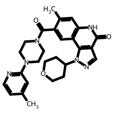 Cc1ccnc(N2CCN(C(=O)c3cc4c(cc3C)[nH]c(=O)c3cnn(C5CCOCC5)c34)CC2)c1